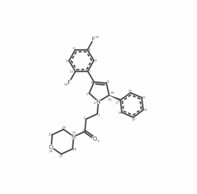 O=C(CCN1CC(c2cc(F)ccc2F)=C[C@H]1c1ccccc1)N1CCOCC1